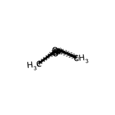 CCCCCCCCCCC[CH]CCS(=O)(=O)c1ccc(CCCCCCCCCCCC)cc1